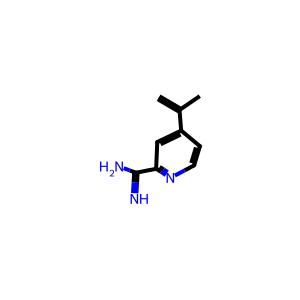 C=C(C)c1ccnc(C(=N)N)c1